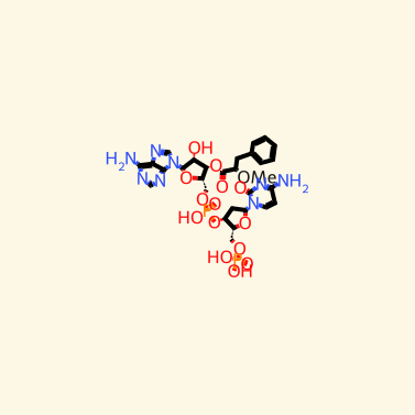 COC(Cc1ccccc1)C(=O)O[C@@H]1[C@H](COP(=O)(O)O[C@H]2CC(n3ccc(N)nc3=O)O[C@@H]2COP(=O)(O)O)OC(n2cnc3c(N)ncnc32)[C@@H]1O